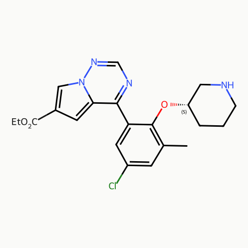 CCOC(=O)c1cc2c(-c3cc(Cl)cc(C)c3O[C@H]3CCCNC3)ncnn2c1